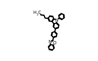 CCCCc1ccc2c(c1)c1cc(-c3ccc(-c4nc5ccccc5o4)cc3)ccc1n2-c1ccccc1